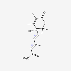 COC(=O)/C=C(C)/C=C/[C@@]1(O)C(C)=C(C)C(=O)CC1(C)C